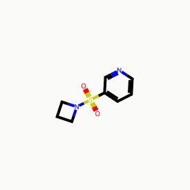 O=S(=O)(c1cccnc1)N1CCC1